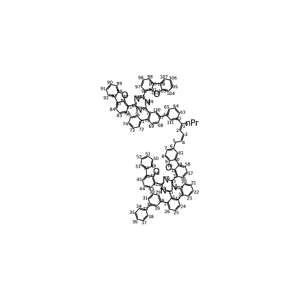 CCC/C(=C\C=C/Cc1ccc2oc3c(-c4nc(-c5c(-c6ccccc6)cccc5-c5cccc(-c6ccccc6)c5)nc(-c5cccc6c5oc5ccccc56)n4)cccc3c2c1)c1cccc(-c2ccc(-c3ccccc3)c(-c3nc(-c4cccc5c4oc4ccccc45)nc(-c4cccc5c4oc4ccccc45)n3)c2)c1